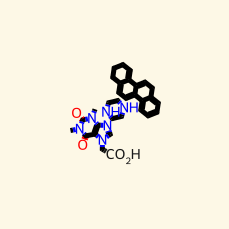 C1=c2c(ccc3c2=CCc2ccccc2-3)CCC1.C1CNCCN1.Cn1c(=O)c2c(ncn2CC(=O)O)n(C)c1=O